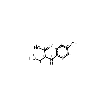 O=C(O)C(CO)Nc1ccc(O)cc1